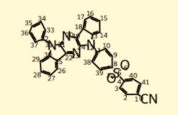 N#Cc1ccc(S(=O)(=O)c2ccc(-n3c4ccccc4c4nc5c(nc43)c3ccccc3n5-c3ccccc3)cc2)cc1